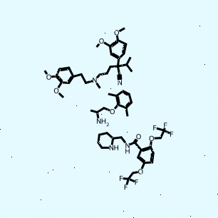 COc1ccc(CCN(C)CCCC(C#N)(c2ccc(OC)c(OC)c2)C(C)C)cc1OC.Cc1cccc(C)c1OCC(C)N.O=C(NCC1CCCCN1)c1cc(OCC(F)(F)F)ccc1OCC(F)(F)F